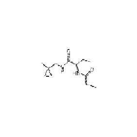 CCC(=O)NC(CC)C(=O)NCC1(C)CC1